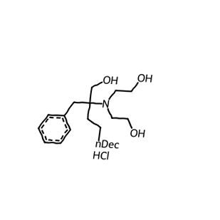 CCCCCCCCCCCCC(CO)(Cc1ccccc1)N(CCO)CCO.Cl